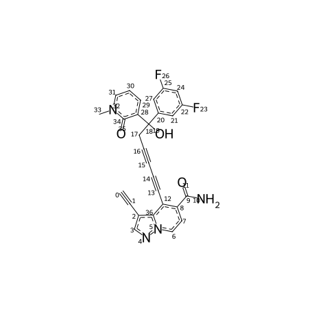 C#Cc1cnn2ccc(C(N)=O)c(C#CC#CCC(O)(c3cc(F)cc(F)c3)c3cccn(C)c3=O)c12